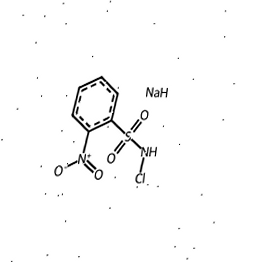 O=[N+]([O-])c1ccccc1S(=O)(=O)NCl.[NaH]